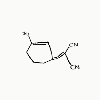 CC(C)(C)C1=CC(=C(C#N)C#N)CCC1